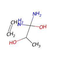 C=C.CC(O)C(N)(N)O